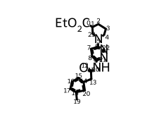 CCOC(=O)C1CCCN(c2ccc(NC(=O)Cc3cccc(C)c3)nn2)C1